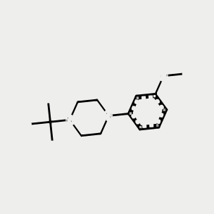 COc1cccc(N2CCN(C(C)(C)C)CC2)c1